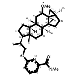 CNC(=O)c1cccc(OCC(C)[C@H]2CC[C@H]3[C@@H]4CC(OC)[C@]56C[C@H]5CC[C@]6(C)[C@H]4CC[C@]23C)n1